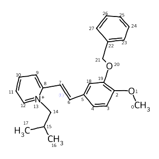 COc1ccc(/C=C/c2cccc[n+]2CC(C)C)cc1OCc1ccccc1